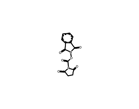 O=C1c2ccccc2C(=O)N1OC(=O)N1C(=O)CCC1=O